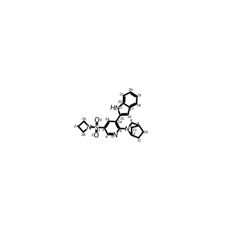 O=S(=O)(c1cnc(N2CC3CCC2C3)c(-c2cc3ccccc3[nH]2)c1)N1CCC1